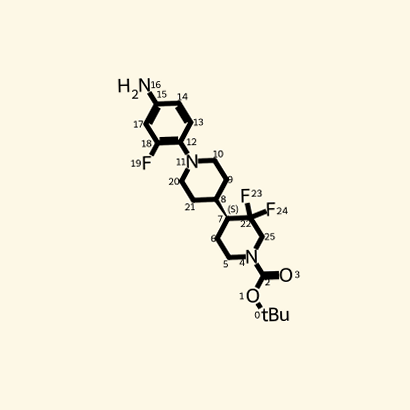 CC(C)(C)OC(=O)N1CC[C@@H](C2CCN(c3ccc(N)cc3F)CC2)C(F)(F)C1